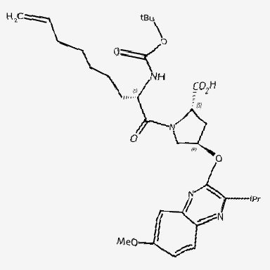 C=CCCCCC[C@H](NC(=O)OC(C)(C)C)C(=O)N1C[C@H](Oc2nc3cc(OC)ccc3nc2C(C)C)C[C@H]1C(=O)O